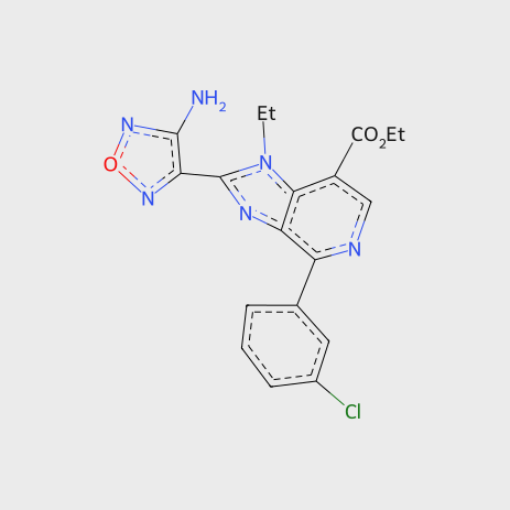 CCOC(=O)c1cnc(-c2cccc(Cl)c2)c2nc(-c3nonc3N)n(CC)c12